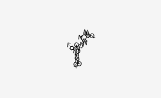 CCOc1cc(-c2ccc(N3CCC(COCCN4CCN(C(=O)OC(C)(C)C)CC4)(NC(=O)c4cc(F)ccc4F)CC3)nc2)c2c(C#N)cnn2c1